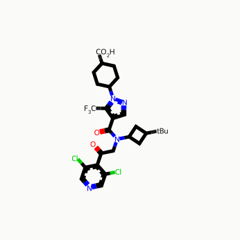 CC(C)(C)C1CC(N(CC(=O)c2c(Cl)cncc2Cl)C(=O)c2cnn(C3CCC(C(=O)O)CC3)c2C(F)(F)F)C1